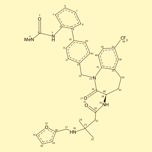 CNC(=O)Nc1ccccc1-c1ccc(CN2C(=O)[C@H](NC(=O)CC(C)(C)NCc3ccco3)CCc3cc(C(F)(F)F)ccc32)cc1